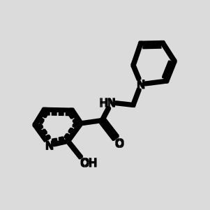 O=C(NCN1C=CC=CC1)c1cccnc1O